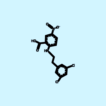 O=C(O)c1cc([N+](=O)[O-])ccc1NCCc1cc(Cl)cc(Cl)c1